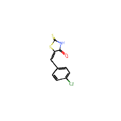 O=C1NC(=S)SC1=Cc1ccc(Cl)cc1